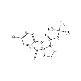 Cc1ccc(O[C@@]2(C(=O)O)CCCN2C(=O)OC(C)(C)C)cc1